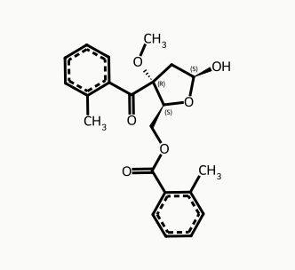 CO[C@]1(C(=O)c2ccccc2C)C[C@@H](O)O[C@H]1COC(=O)c1ccccc1C